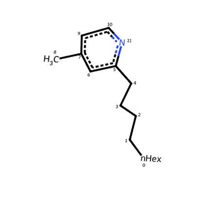 CCCCCCCCCCc1cc(C)ccn1